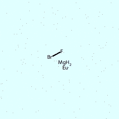 FBr.[Eu].[MgH2]